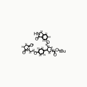 CC(C)(C)OC(=O)N1CC(COc2ccc3c(c2)C(=O)NC3)C(c2ccc(OCCN3C(=O)CCC3=O)cc2)C1